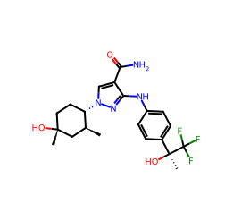 C[C@H]1C[C@](C)(O)CC[C@@H]1n1cc(C(N)=O)c(Nc2ccc([C@](C)(O)C(F)(F)F)cc2)n1